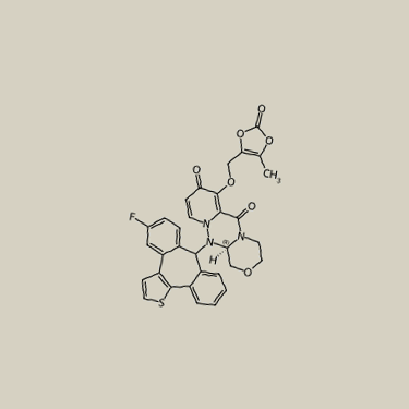 Cc1oc(=O)oc1COc1c2n(ccc1=O)N(C1c3ccc(F)cc3-c3ccsc3-c3ccccc31)[C@@H]1COCCN1C2=O